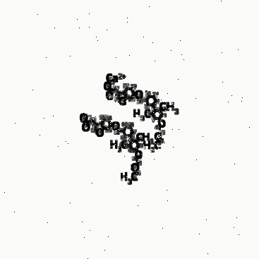 CCOCCOc1cc(C)c(-c2cccc(COc3ccc4c(c3)OCC4CC(=O)[O-])c2)c(C)c1.CCOCCOc1cc(C)c(-c2cccc(COc3ccc4c(c3)OCC4CC(=O)[O-])c2)c(C)c1.[Ca+2]